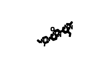 CCc1cc(-c2cc(=O)n3cc(N4CCN(CC)[C@H](C)C4)ccc3n2)cn2cc(C)nc12